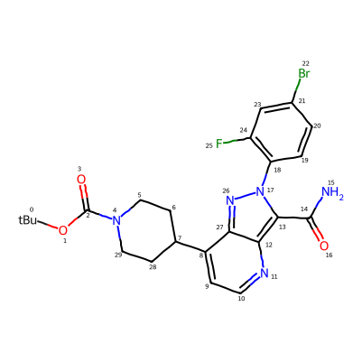 CC(C)(C)OC(=O)N1CCC(c2ccnc3c(C(N)=O)n(-c4ccc(Br)cc4F)nc23)CC1